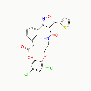 O=C(O)Cc1cccc(-c2noc(-c3cccs3)c2C(=O)NCCOc2ccc(Cl)cc2Cl)c1